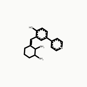 NC1CCCC(=Cc2cc(-c3ccncc3)ccc2O)C1N